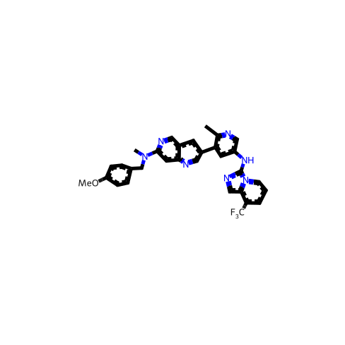 COc1ccc(CN(C)c2cc3ncc(-c4cc(Nc5ncc6c(C(F)(F)F)cccn56)cnc4C)cc3cn2)cc1